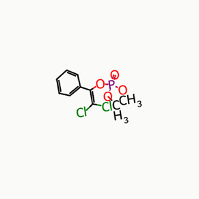 COP(=O)(OC)OC(=C(Cl)Cl)c1ccccc1